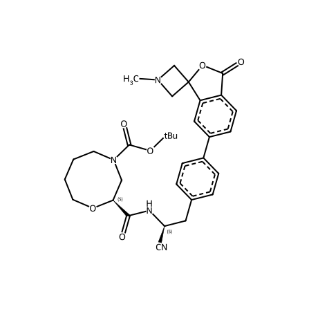 CN1CC2(C1)OC(=O)c1ccc(-c3ccc(C[C@@H](C#N)NC(=O)[C@@H]4CN(C(=O)OC(C)(C)C)CCCCO4)cc3)cc12